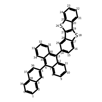 c1ccc2cc(-c3c4ccccc4c(-c4ccc5sc6c7ccccc7sc6c5c4)c4ccccc34)ccc2c1